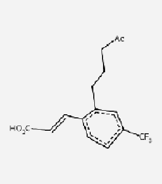 CC(=O)CCCc1cc(C(F)(F)F)ccc1C=CC(=O)O